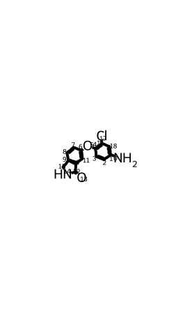 Nc1ccc(Oc2ccc3c(c2)C(=O)NC3)c(Cl)c1